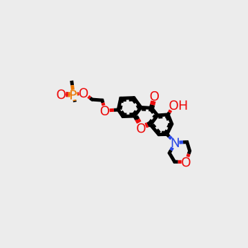 CP(C)(=O)OCCOc1ccc2c(=O)c3c(O)cc(N4CCOCC4)cc3oc2c1